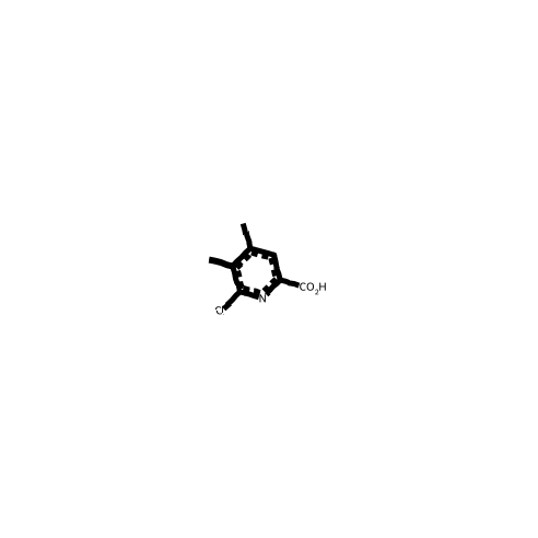 Cc1cc(C(=O)O)nc(Cl)c1C